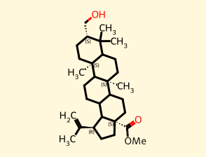 C=C(C)[C@@H]1CC[C@]2(C(=O)OC)CCC3C(CCC4[C@@]3(C)CCC3C(C)(C)[C@@H](CO)CC[C@@]34C)C12